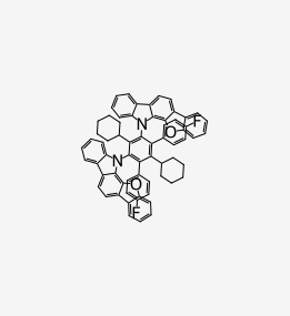 Fc1ccc(-c2c(C3CCCCC3)c(-c3ccc(F)cc3)c(-n3c4ccccc4c4ccc5c6ccccc6oc5c43)c(C3CCCCC3)c2-n2c3ccccc3c3ccc4c5ccccc5oc4c32)cc1